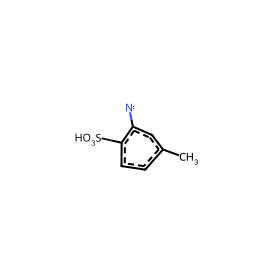 Cc1ccc(S(=O)(=O)O)c([N])c1